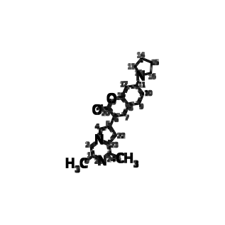 Cc1cn2cc(-c3cc4ccc(N5C[CH]CC5)cc4oc3=O)cc2c(C)n1